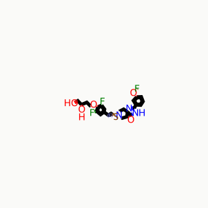 O=C1NC(c2cccc(OF)c2)=NC12CCN(S/C=C/c1cc(F)c(OCCC(O)CO)c(F)c1)CC2